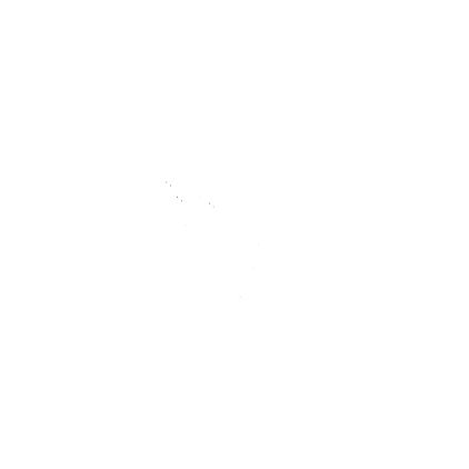 CCOc1cccc(/C=C/c2cc(=O)n3ncsc3n2)c1OC